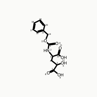 O=C(NC(CC(O)C(=O)O)C(=O)O)OCc1ccccc1